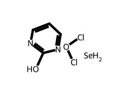 ClOCl.Oc1ncccn1.[SeH2]